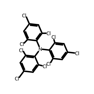 Clc1cc(Cl)c(N(c2c(Cl)cc(Cl)cc2Cl)c2c(Cl)cc(Cl)cc2Cl)c(Cl)c1